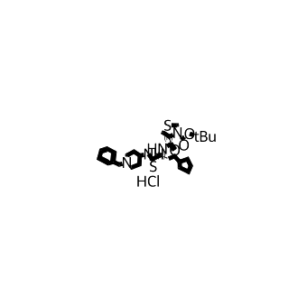 CC(C)(C)OC(=O)N1CSC[C@H]1C(=O)N[C@H](CCC1CCCC1)C(=S)NC1CCN(Cc2ccccc2)CC1.Cl